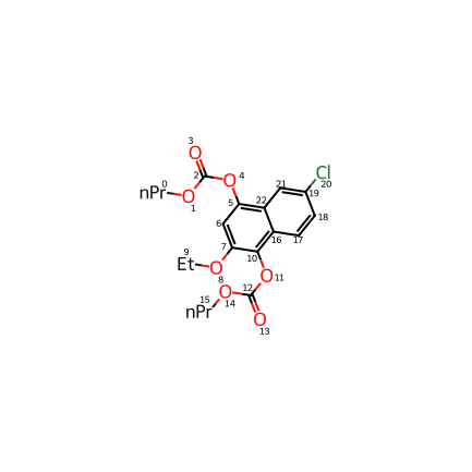 CCCOC(=O)Oc1cc(OCC)c(OC(=O)OCCC)c2ccc(Cl)cc12